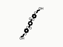 O=C(Oc1ccc(OCCCO)cc1)C1CCC(C(=O)Oc2ccc(OCCCO)cc2)CC1